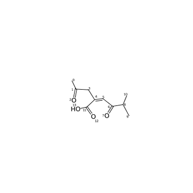 CC(=O)C/C(=C/C(=O)C(C)C)C(=O)O